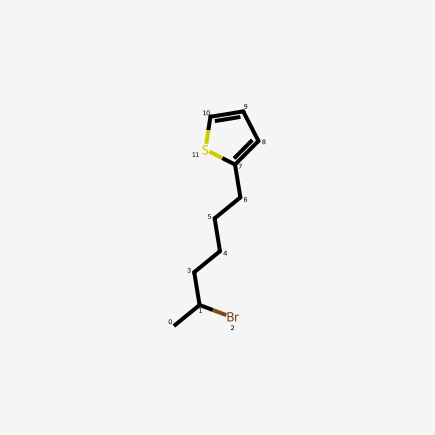 CC(Br)CCCCc1cccs1